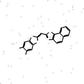 Cc1cc2c(cc1O)N/C(=C/c1nc3ccc4ccccc4c3s1)S2